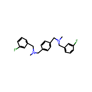 CN(Cc1ccc(CN(C)Cc2cccc(F)c2)cc1)Cc1cccc(F)c1